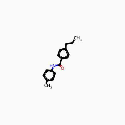 CCCc1ccc(C(=O)Nc2ccc(C)cc2)cc1